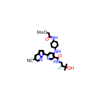 COCC(=O)NC1CCC(Nc2cc(-c3ccc4cc(C#N)cnn34)ncc2C(=O)NC[C@@H](F)C(C)(C)O)CC1